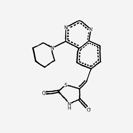 O=C1NC(=O)C(=Cc2ccc3ncnc(N4CCCCC4)c3c2)S1